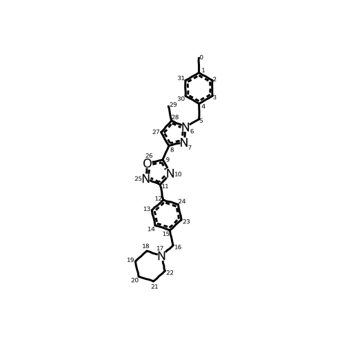 Cc1ccc(Cn2nc(-c3nc(-c4ccc(CN5CCCCC5)cc4)no3)cc2C)cc1